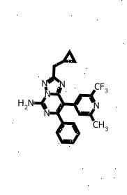 Cc1cc(-c2c(-c3ccccc3)nc(N)n3nc(CC4CC4)nc23)cc(C(F)(F)F)n1